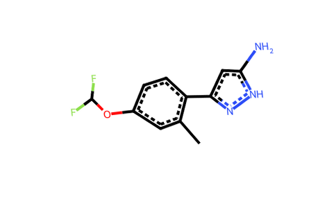 Cc1cc(OC(F)F)ccc1-c1cc(N)[nH]n1